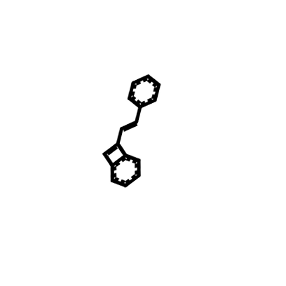 C(=Cc1ccccc1)C1=Cc2ccccc21